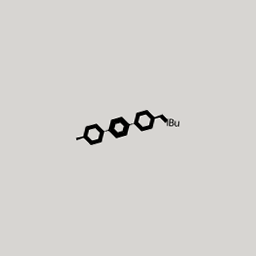 CCC(C)C[C@H]1CC[C@H](c2ccc([C@H]3CC[C@H](C)CC3)cc2)CC1